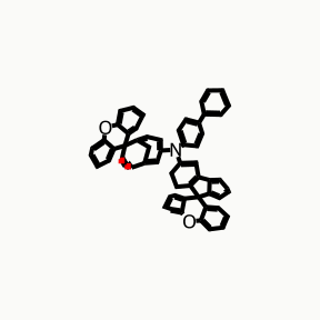 C1=C2CC(=CC=C1N(C1=CC3=C(CC1)C1(c4ccccc4Oc4ccccc41)c1ccccc13)c1ccc(-c3ccccc3)cc1)C1(c3ccccc3Oc3ccccc31)c1ccccc12